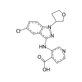 O=C(O)c1ccncc1Nc1nn(C2CCOC2)c2ccc(Cl)cc12